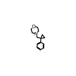 [c]1ccc(C2(CN3CCOCC3)CC2)cc1